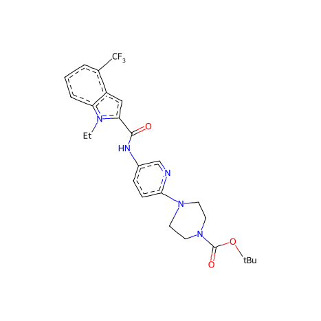 CCn1c(C(=O)Nc2ccc(N3CCN(C(=O)OC(C)(C)C)CC3)nc2)cc2c(C(F)(F)F)cccc21